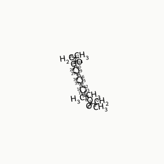 C=C(C)C(=O)OCC(C)(C)c1ccc(-c2ccc(-c3ccc(OC(=O)C(=C)C)cc3)cc2)cc1